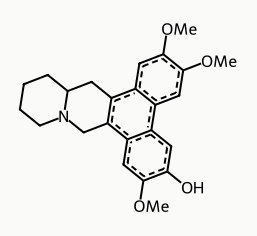 COc1cc2c3c(c4cc(OC)c(OC)cc4c2cc1O)CC1CCCCN1C3